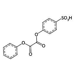 O=C(Oc1ccccc1)C(=O)Oc1ccc(S(=O)(=O)O)cc1